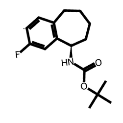 CC(C)(C)OC(=O)N[C@@H]1CCCCc2c[c]c(F)cc21